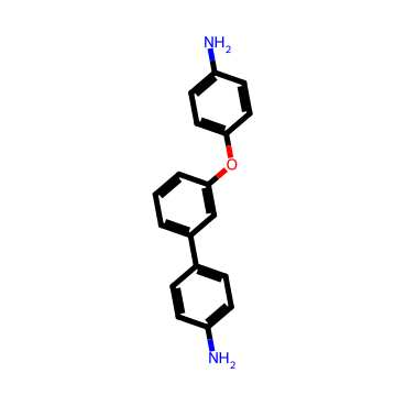 Nc1ccc(Oc2cccc(-c3ccc(N)cc3)c2)cc1